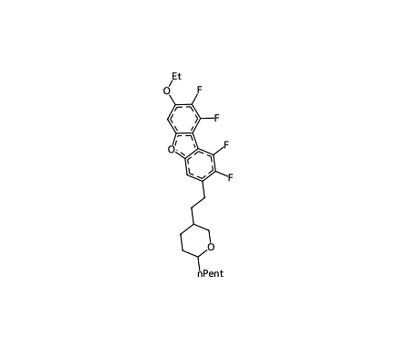 CCCCCC1CCC(CCc2cc3oc4cc(OCC)c(F)c(F)c4c3c(F)c2F)CO1